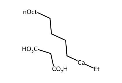 CCCCCCCCCCC[CH2][Ca][CH2]C.O=C(O)CC(=O)O